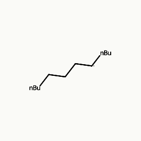 CC[CH]C[CH]CCCCCCC